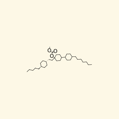 CCCCCCCC1CCC(C2CCC(CC[C@H]3CC[C@H](CCCCC)CC3)(OC(=O)OC)CC2)CC1